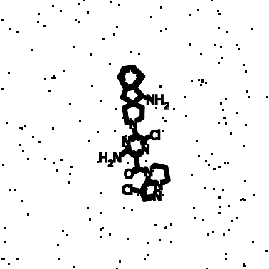 Nc1nc(N2CCC3(CC2)Cc2ccccc2[C@H]3N)c(Cl)nc1C(=O)N1CCCn2ncc(Cl)c21